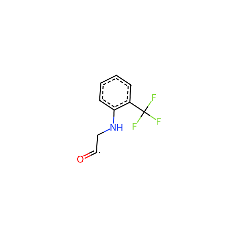 O=[C]CNc1ccccc1C(F)(F)F